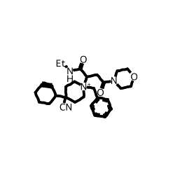 CCNC(=O)C(CC(=O)N1CCOCC1)[N+]1(Cc2ccccc2)CCC(C#N)(C2C#CCCC2)CC1